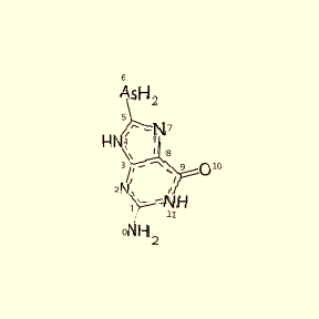 Nc1nc2[nH]c([AsH2])nc2c(=O)[nH]1